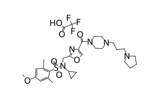 COc1cc(C)c(S(=O)(=O)N(Cc2nc(C(=O)N3CCN(CCCN4CCCC4)CC3)co2)C2CC2)c(C)c1.O=C(O)C(F)(F)F